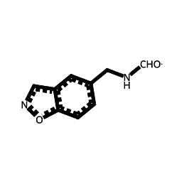 O=[C]NCc1ccc2oncc2c1